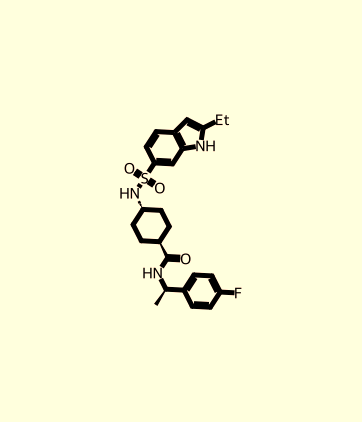 [CH2]Cc1cc2ccc(S(=O)(=O)N[C@H]3CC[C@H](C(=O)N[C@H](C)c4ccc(F)cc4)CC3)cc2[nH]1